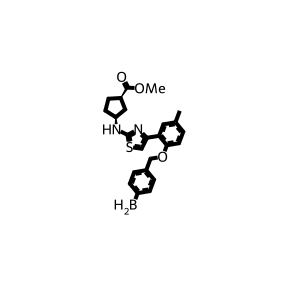 Bc1ccc(COc2ccc(C)cc2-c2csc(N[C@H]3CC[C@@H](C(=O)OC)C3)n2)cc1